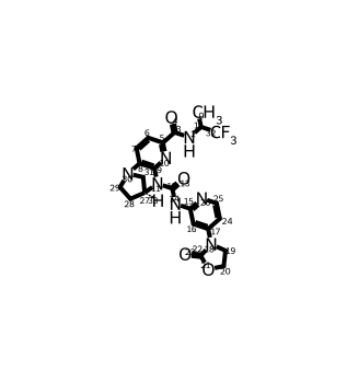 CC(NC(=O)c1ccc2c(n1)N(C(=O)Nc1cc(N3CCOC3=O)ccn1)[C@H]1CCN2C1)C(F)(F)F